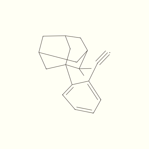 [C]#Cc1ccccc1C12CC3CC(CC(C3)C1(C)C)C2